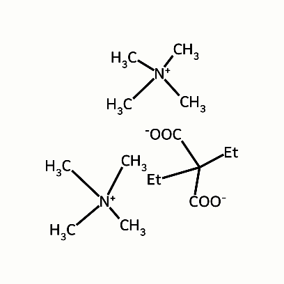 CCC(CC)(C(=O)[O-])C(=O)[O-].C[N+](C)(C)C.C[N+](C)(C)C